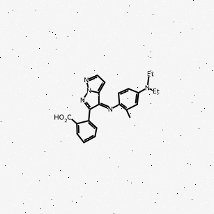 CCN(CC)c1ccc(N=C2C(c3ccccc3C(=O)O)=Nn3nccc32)c(C)c1